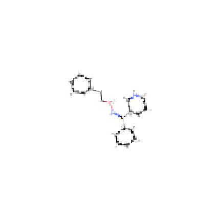 c1ccc(CCON=C(c2ccccc2)c2cccnc2)cc1